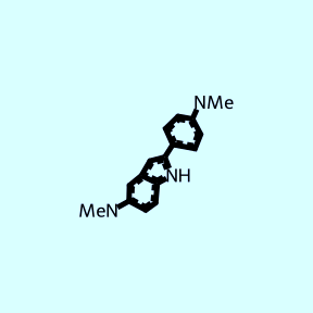 CNc1ccc(-c2cc3cc(NC)ccc3[nH]2)cc1